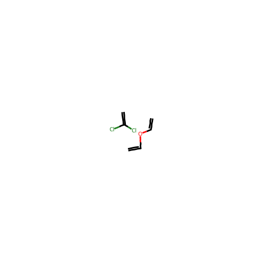 C=C(Cl)Cl.C=COC=C